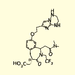 CN(C)C(=O)CC1c2cc(OCCc3cn4c(n3)NCCN4)ccc2C[C@@H](CC(=O)O)C(=O)N1CC(F)(F)F